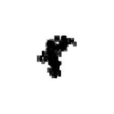 [3H]C([3H])C([3H])([3H])CN1CCC[C@@]12CCN([C@@H](C)C(=O)N[C@@H](Cc1ccccc1)[C@H](O)CNCc1cccc(C(C)C)c1)C2=O